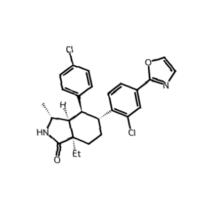 CC[C@@]12CC[C@@H](c3ccc(-c4ncco4)cc3Cl)[C@H](c3ccc(Cl)cc3)[C@@H]1[C@@H](C)NC2=O